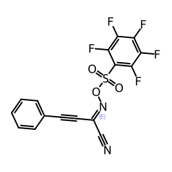 N#C/C(C#Cc1ccccc1)=N/OS(=O)(=O)c1c(F)c(F)c(F)c(F)c1F